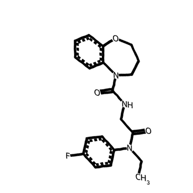 CCN(C(=O)CNC(=O)N1CCCOc2ccccc21)c1ccc(F)cc1